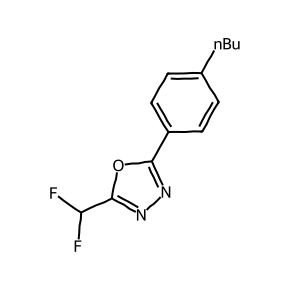 CCCCc1ccc(-c2nnc(C(F)F)o2)cc1